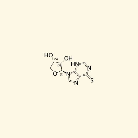 O[C@H]1[C@@H](O)CO[C@@H]1n1cnc2c(=S)nc[nH]c21